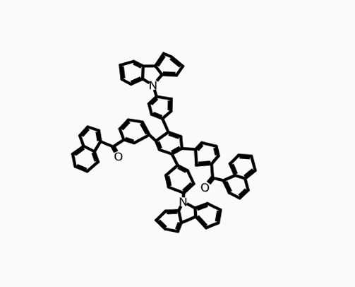 O=C(c1cccc(-c2cc(-c3ccc(-n4c5ccccc5c5ccccc54)cc3)c(-c3cccc(C(=O)c4cccc5ccccc45)c3)cc2-c2ccc(-n3c4ccccc4c4ccccc43)cc2)c1)c1cccc2ccccc12